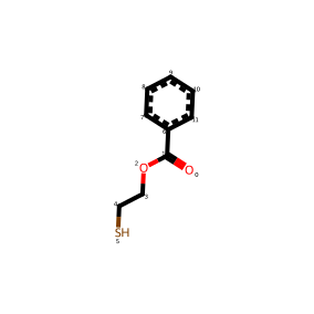 O=C(OCCS)c1ccccc1